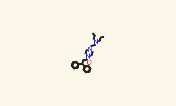 CCCN(CCC)CCN1CCN(C(=O)CC(c2ccccc2)c2ccccc2)CC1